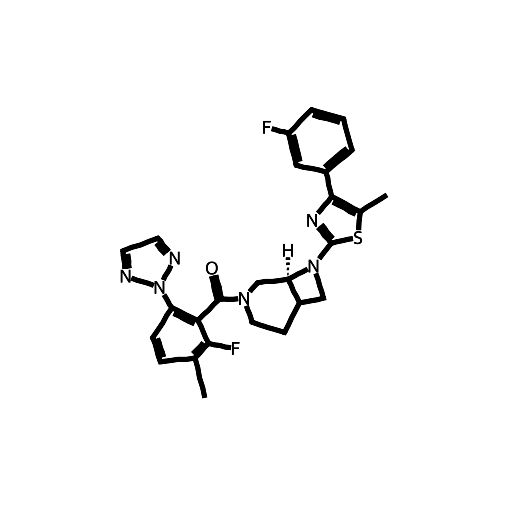 Cc1ccc(-n2nccn2)c(C(=O)N2CCC3CN(c4nc(-c5cccc(F)c5)c(C)s4)[C@@H]3C2)c1F